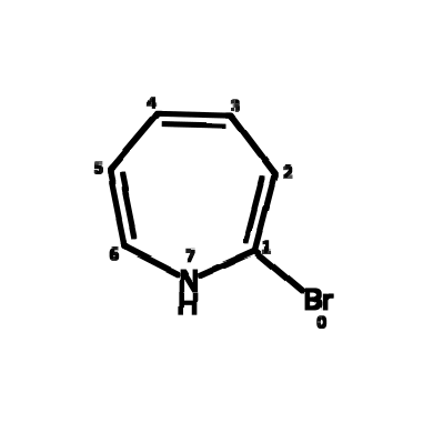 BrC1=CC=CC=CN1